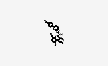 COc1ccc(C#N)cc1-c1cc(C)ncc1C(=O)Nc1nc2ccc(-c3ccc(C#N)cc3)nc2s1